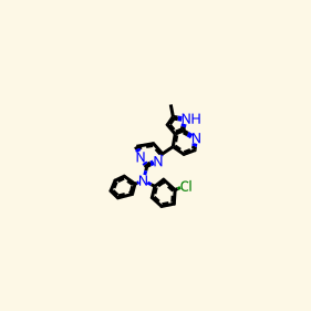 Cc1cc2c(-c3ccnc(N(c4ccccc4)c4cccc(Cl)c4)n3)ccnc2[nH]1